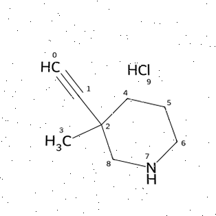 C#CC1(C)CCCNC1.Cl